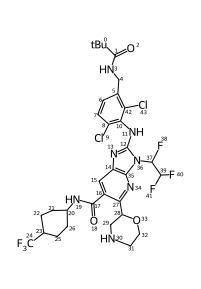 CC(C)(C)C(=O)NCc1ccc(Cl)c(Nc2nc3cc(C(=O)NC4CCC(C(F)(F)F)CC4)c(C4CNCCO4)nc3n2C(F)C(F)F)c1Cl